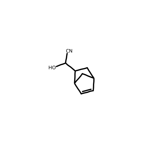 N#CC(O)C1CC2C=CC1C2